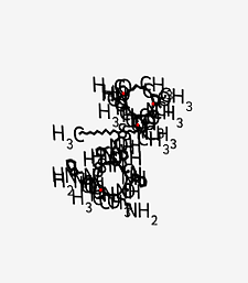 CCCCCCCCCCC(CCN[C@H](Cc1ccccc1)C(=O)N[C@H]1CSSC[C@@H](C(=O)N[C@@H](Cc2c[nH]c3ccccc23)C(N)=O)NC(=O)[C@H](C(C)C)NC(=O)[C@H](CCCCN)NC(=O)[C@@H](Cc2c[nH]c3ccccc23)NC(=O)[C@H](Cc2ccc(O)cc2)NC1=O)SSCCC(=O)N(C)[C@@H](C)C(=O)O[C@H]1CC(=O)N(C)c2cc(cc(OC)c2Cl)C/C(C)=C/C=C/[C@@H](OC)[C@@]2(O)C[C@H](OC(=O)N2)[C@@H](C)[C@@H]2O[C@@]12C